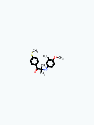 COc1ccc(NC(C)(C)C(=O)c2ccc(SC)cc2)cc1C